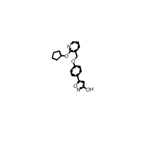 Oc1cc(-c2ccc(OCc3cccnc3OC3CCCC3)cc2)on1